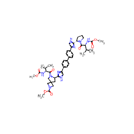 COC(=O)N[C@H](C(=O)N1CC2(CC1c1nc(-c3ccc(-c4ccc(-c5c[nH]c([C@@H]6CCCN6C(=O)[C@@H](NC(=O)OC)C(C)C)n5)cc4)cc3)c[nH]1)CN(C(=O)OC)C2)C(C)C